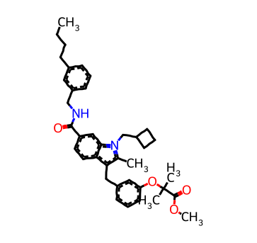 CCCCc1cccc(CNC(=O)c2ccc3c(Cc4cccc(OC(C)(C)C(=O)OC)c4)c(C)n(CC4CCC4)c3c2)c1